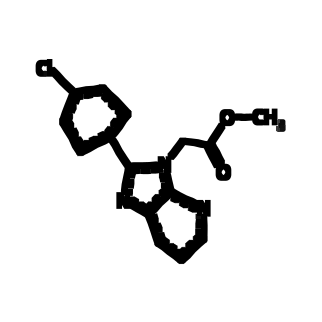 COC(=O)Cn1c(-c2ccc(Cl)cc2)nc2cccnc21